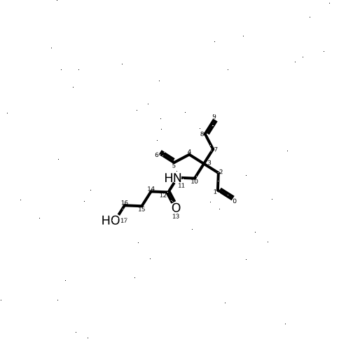 C=CCC(CC=C)(CC=C)CNC(=O)CCCO